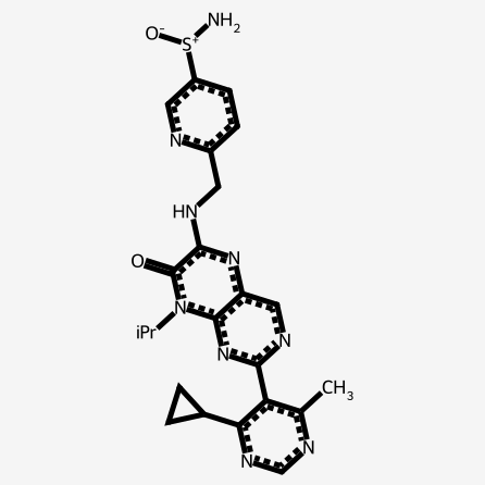 Cc1ncnc(C2CC2)c1-c1ncc2nc(NCc3ccc([S+](N)[O-])cn3)c(=O)n(C(C)C)c2n1